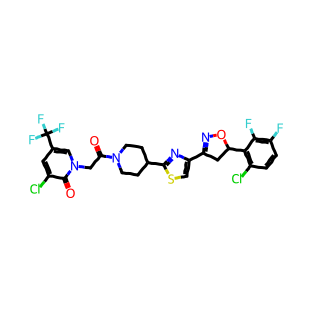 O=C(Cn1cc(C(F)(F)F)cc(Cl)c1=O)N1CCC(c2nc(C3=NOC(c4c(Cl)ccc(F)c4F)C3)cs2)CC1